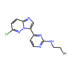 CC(C)CCNc1nccc(-c2cnc3ccc(Cl)nn23)n1